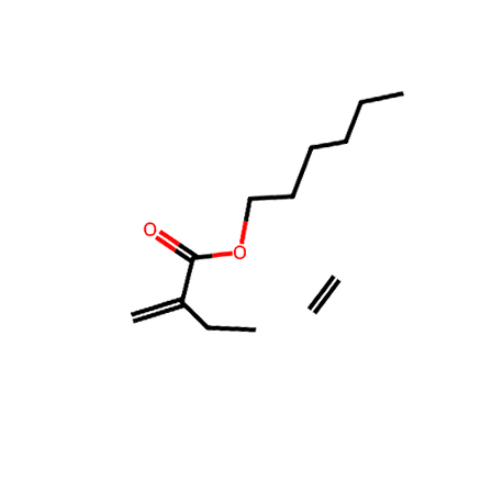 C=C.C=C(CC)C(=O)OCCCCCC